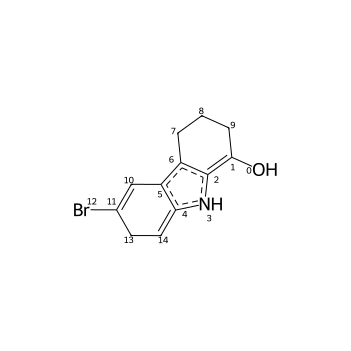 OC1=c2[nH]c3c(c2CCC1)C=C(Br)CC=3